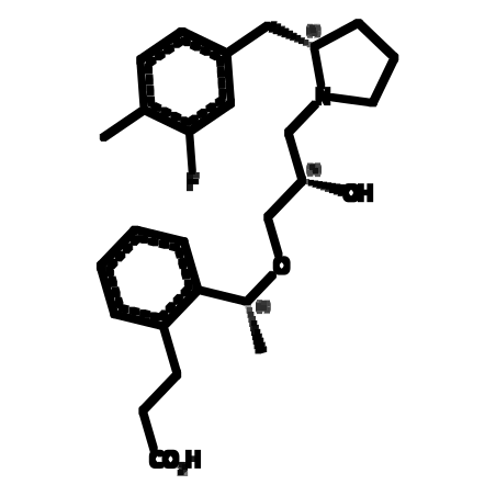 Cc1ccc(C[C@@H]2CCCN2C[C@H](O)CO[C@H](C)c2ccccc2CCC(=O)O)cc1F